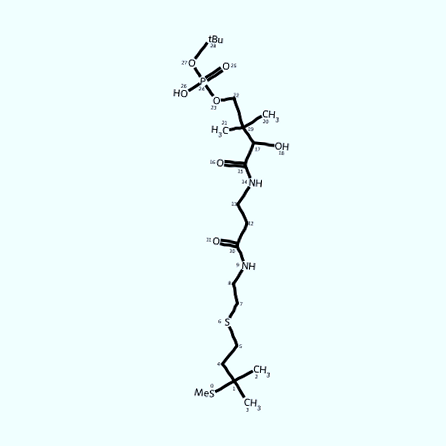 CSC(C)(C)CCSCCNC(=O)CCNC(=O)C(O)C(C)(C)COP(=O)(O)OC(C)(C)C